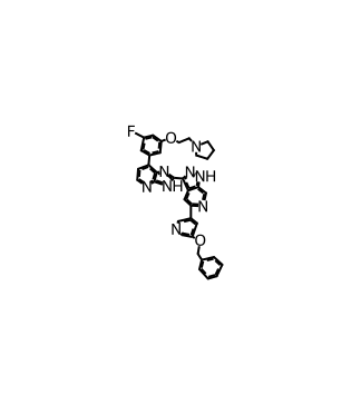 Fc1cc(OCCN2CCCC2)cc(-c2ccnc3[nH]c(-c4n[nH]c5cnc(-c6cncc(OCc7ccccc7)c6)cc45)nc23)c1